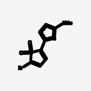 CSc1ccc(C2=CC=C(Br)S2(=O)=O)s1